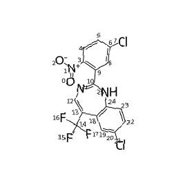 O=[N+]([O-])c1ccc(Cl)cc1C1=NC=C(C(F)(F)F)c2cc(Cl)ccc2N1